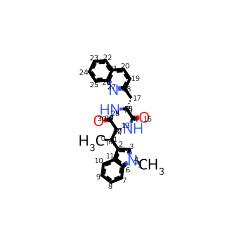 C[C@H](c1cn(C)c2ccccc12)[C@H]1NC(=O)[C@@H](Cc2ccc3ccccc3n2)NC1=O